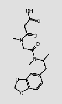 CC(Cc1ccc2c(c1)OCO2)N(C)C(=O)CN(C)C(=O)CC(=O)O